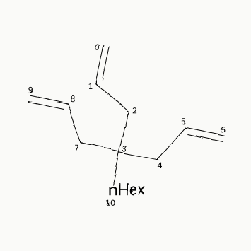 C=CCC(CC=C)(CC=C)CCCCCC